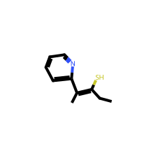 CC/C(S)=C(\C)c1ccccn1